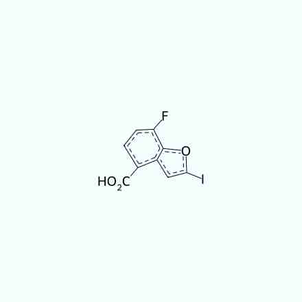 O=C(O)c1ccc(F)c2oc(I)cc12